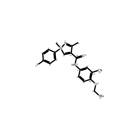 CC1=N[N+](C)(c2ccc(F)cc2)C=C1C(=O)Nc1ccc(OCC(C)(C)C)c(C#N)c1